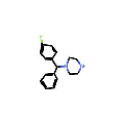 Fc1ccc(C(c2ccccc2)N2CC[N]CC2)cc1